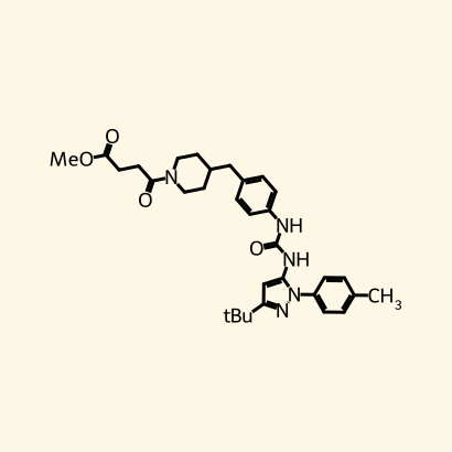 COC(=O)CCC(=O)N1CCC(Cc2ccc(NC(=O)Nc3cc(C(C)(C)C)nn3-c3ccc(C)cc3)cc2)CC1